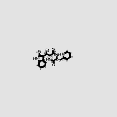 CCc1[nH]c2ccccc2c1[C@@H](CC)[C@H]1NC(=O)[C@@H](Cc2ccccn2)NC1=O